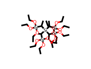 CCO[Si](OCC)(OCC)C(C)[Si](C(C)[Si](OCC)(OCC)OCC)(C(C)[Si](OCC)(OCC)OCC)C(C)[Si](OCC)(OCC)OCC